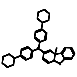 CC12C=C(N(c3ccc(C4CCCCC4)cc3)c3ccc(C4CCCCC4)cc3)C=CC1Sc1ccccc12